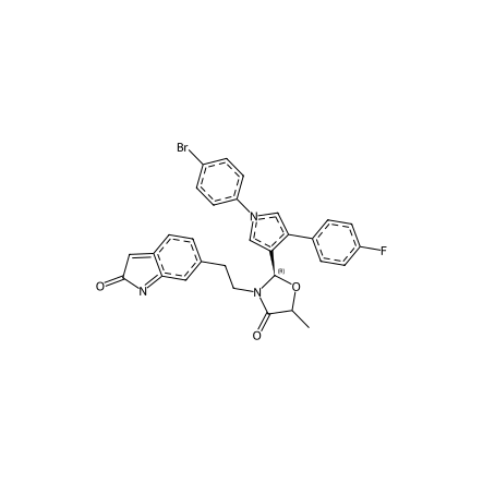 CC1O[C@H](c2cn(-c3ccc(Br)cc3)cc2-c2ccc(F)cc2)N(CCc2ccc3c(c2)=NC(=O)C=3)C1=O